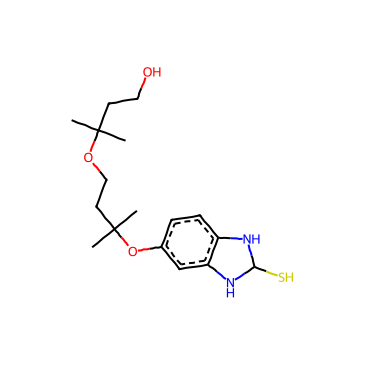 CC(C)(CCO)OCCC(C)(C)Oc1ccc2c(c1)NC(S)N2